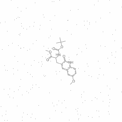 COC(=O)C(Cc1cc2cc(OC)ccc2[nH]c1=O)NC(=O)OC(C)(C)C